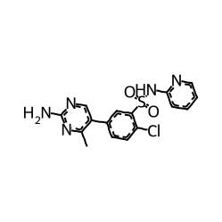 Cc1nc(N)ncc1-c1ccc(Cl)c(S(=O)(=O)Nc2ccccn2)c1